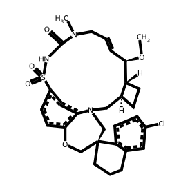 CO[C@@H]1/C=C/CN(C)C(=O)NS(=O)(=O)c2ccc3c(c2)N(C[C@@H]2CC[C@H]21)C[C@@]1(CCCc2cc(Cl)ccc21)CO3